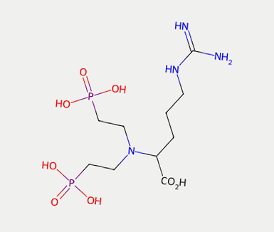 N=C(N)NCCCC(C(=O)O)N(CCP(=O)(O)O)CCP(=O)(O)O